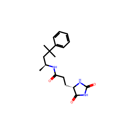 C[C@@H](CC(C)(C)c1ccccc1)NC(=O)CC[C@@H]1NC(=O)NC1=O